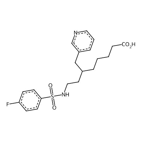 O=C(O)CCCCC(CCNS(=O)(=O)c1ccc(F)cc1)Cc1cccnc1